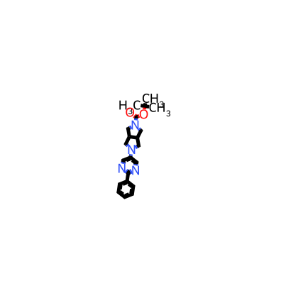 CC(C)(C)OC(=O)N1CC2CN(c3cnc(-c4ccccc4)nc3)CC2C1